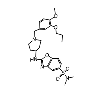 CCCOc1cc(CN2CCC(Nc3nc4cc(S(=O)(=O)N(C)C)ccc4o3)CC2)ccc1OC